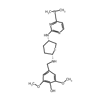 COc1cc(CN[C@H]2CC[C@@H](Nc3nccc(N(C)C)n3)CC2)cc(OC)c1O